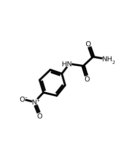 NC(=O)C(=O)Nc1ccc([N+](=O)[O-])cc1